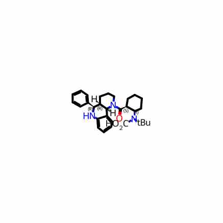 CC(C)(C)N(C(=O)O)[C@@H]1CCCC[C@@H]1C(=O)N1CCC[C@@H]2[C@H](c3ccccc3)Nc3ccccc3[C@@H]21